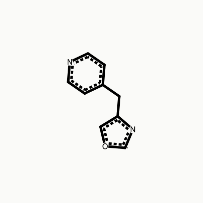 [c]1nc(Cc2ccncc2)co1